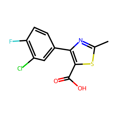 Cc1nc(-c2ccc(F)c(Cl)c2)c(C(=O)O)s1